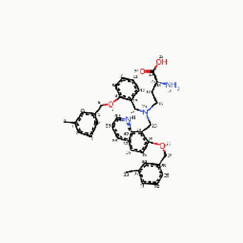 Cc1cccc(COc2ccccc2CN(CC[C@H](N)C(=O)O)Cc2c(OCc3cccc(C)c3)ccc3cccnc23)c1